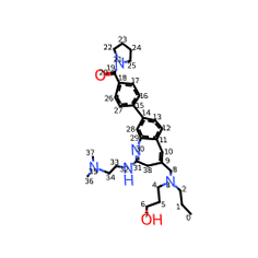 CCCN(CCCO)CC1=Cc2ccc(-c3ccc(C(=O)N4CCCC4)cc3)cc2N=C(NCCN(C)C)C1